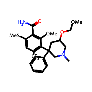 COCOC1CN(C)CC(c2ccccc2)(c2c(C(F)(F)F)cc(SC)c(C(N)=O)c2OC)C1